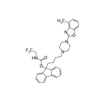 Cc1cccc2oc(N3CCN(CCCCC4(OC(=O)NCC(F)(F)F)c5ccccc5-c5ccccc54)CC3)nc12